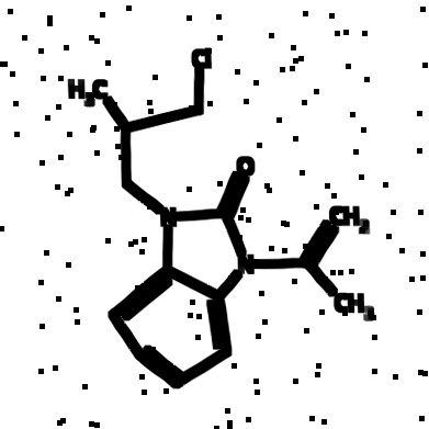 C=C(C)n1c(=O)n(CC(C)CCl)c2ccccc21